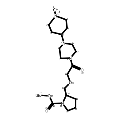 CN1CCC(N2CCN(C(=O)COCC3CCCN3C(=O)OC(C)(C)C)CC2)CC1